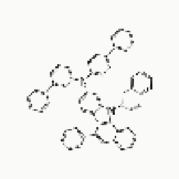 c1ccc(-c2ccc(N(c3cccc(-c4ccccc4)c3)c3ccc4c5c(-c6ccccc6)cc6ccccc6c5n(-c5ccc6ccccc6c5)c4c3)cc2)cc1